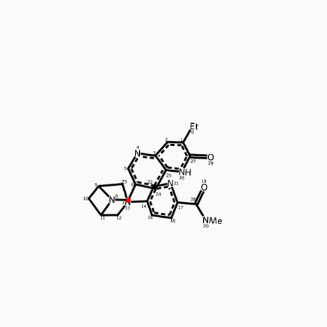 CCc1cc2ncc(CN3C4CC3CN(c3ccc(C(=O)NC)nc3)C4)cc2[nH]c1=O